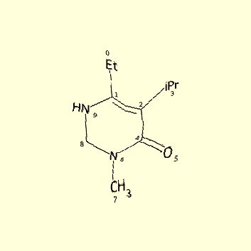 CCC1=C(C(C)C)C(=O)N(C)CN1